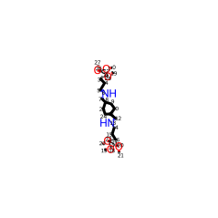 CO[Si](CCCNCC1CCC(CNCCC[Si](OC)(OC)OC)CC1)(OC)OC